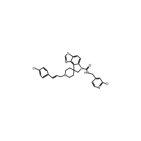 O=C(NCc1ccnc(Cl)c1)N1CC2(CCN(CC=Cc3ccc(Cl)cc3)CC2)c2c1ccc1scnc21